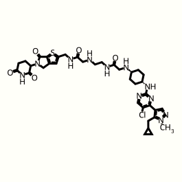 Cn1ncc(-c2nc(N[C@H]3CC[C@H](NCC(=O)NCCNCC(=O)NCc4cc5c(s4)C(=O)N(C4CCC(=O)NC4=O)C5)CC3)ncc2Cl)c1CC1CC1